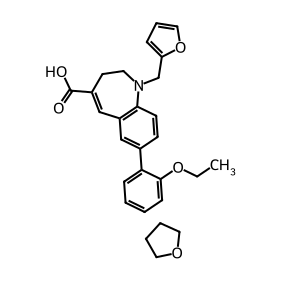 C1CCOC1.CCOc1ccccc1-c1ccc2c(c1)C=C(C(=O)O)CCN2Cc1ccco1